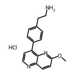 COc1ccc2nccc(-c3ccc(CCN)cc3)c2n1.Cl